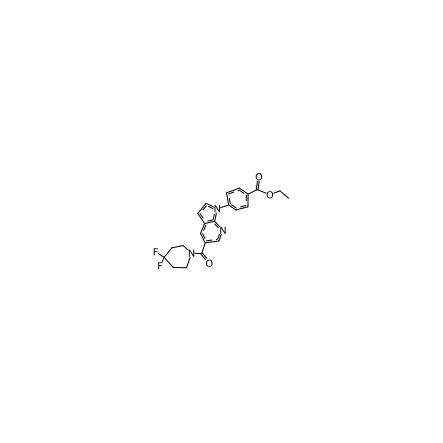 CCOC(=O)c1ccc(-n2ccc3cc(C(=O)N4CCC(F)(F)CC4)cnc32)cc1